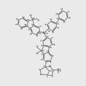 CCC1CC2CCC(c3ccc4c(c3)C(C)(C)c3cc(N(c5ccc(-c6ccccc6)cc5)c5ccc6c(c5)C(C)(C)c5ccccc5-6)ccc3-4)(C1)C2